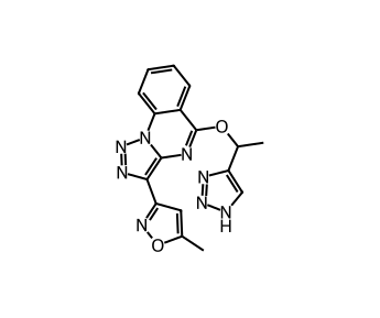 Cc1cc(-c2nnn3c2nc(OC(C)c2c[nH]nn2)c2ccccc23)no1